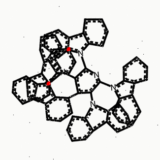 c1ccc(-n2c3ccccc3c3cccc(-c4c(-n5c6ccccc6c6ccccc65)c(-n5c6ccccc6c6ccccc65)nc(-n5c6ccccc6c6ccccc65)c4-n4c5ccccc5c5ccccc54)c32)cc1